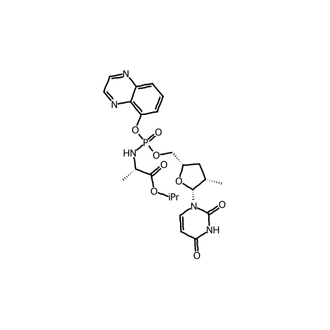 CC(C)OC(=O)[C@H](C)NP(=O)(OC[C@@H]1C[C@H](C)[C@H](n2ccc(=O)[nH]c2=O)O1)Oc1cccc2nccnc12